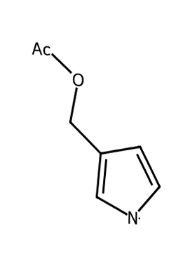 CC(=O)OCC1=C[N]C=C1